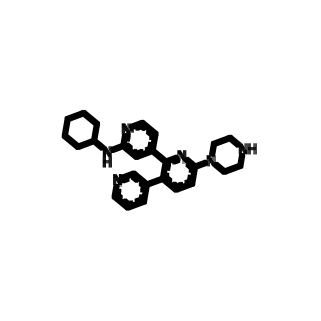 c1cncc(-c2ccc(N3CCNCC3)nc2-c2ccnc(NC3CCCCC3)c2)c1